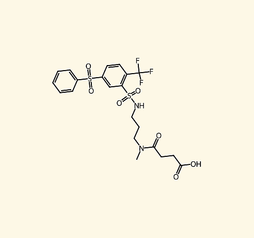 CN(CCCNS(=O)(=O)c1cc(S(=O)(=O)c2ccccc2)ccc1C(F)(F)F)C(=O)CCC(=O)O